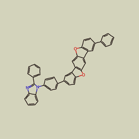 c1ccc(-c2ccc3oc4cc5c(cc4c3c2)oc2ccc(-c3ccc(-n4c(-c6ccccc6)nc6ccccc64)cc3)cc25)cc1